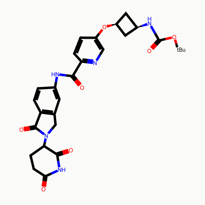 CC(C)(C)OC(=O)N[C@H]1C[C@@H](Oc2ccc(C(=O)Nc3ccc4c(c3)CN(C3CCC(=O)NC3=O)C4=O)nc2)C1